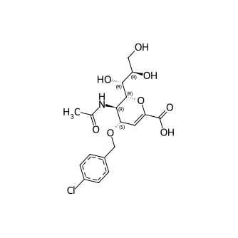 CC(=O)N[C@H]1[C@H]([C@H](O)[C@H](O)CO)OC(C(=O)O)=C[C@@H]1OCc1ccc(Cl)cc1